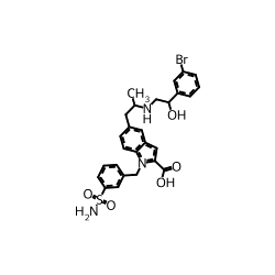 CC(Cc1ccc2c(c1)cc(C(=O)O)n2Cc1cccc(S(N)(=O)=O)c1)NCC(O)c1cccc(Br)c1